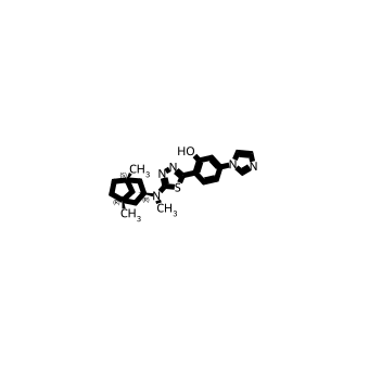 CN(c1nnc(-c2ccc(-n3ccnc3)cc2O)s1)[C@H]1C[C@]2(C)CC[C@](C)(C1)C2